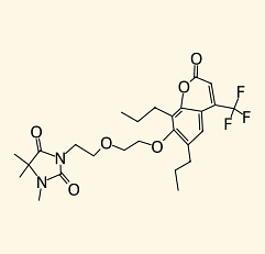 CCCc1cc2c(C(F)(F)F)cc(=O)oc2c(CCC)c1OCCOCCN1C(=O)N(C)C(C)(C)C1=O